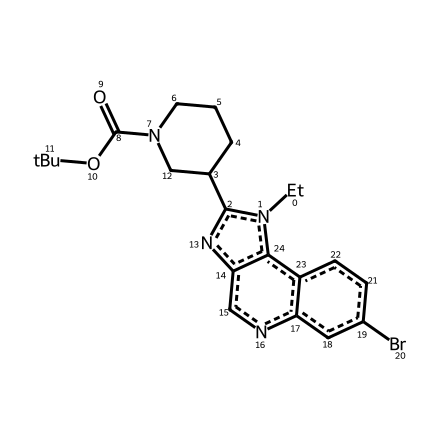 CCn1c(C2CCCN(C(=O)OC(C)(C)C)C2)nc2cnc3cc(Br)ccc3c21